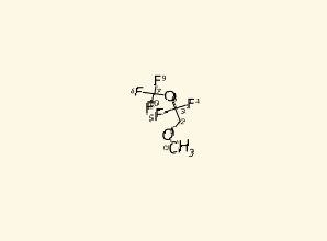 COCC(F)(F)OC(F)(F)F